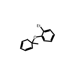 CCc1ccccc1OC1(C)[CH]C=CC=C1